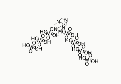 C1N2CN3CN1CN(C2)C3.[O]=[Mo](=[O])([OH])[OH].[O]=[Mo](=[O])([OH])[OH].[O]=[Mo](=[O])([OH])[OH].[O]=[Mo](=[O])([OH])[OH].[O]=[Mo](=[O])([OH])[OH].[O]=[Mo](=[O])([OH])[OH].[O]=[Mo](=[O])([OH])[OH]